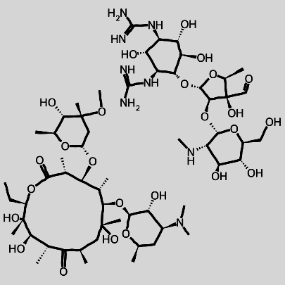 CC[C@H]1OC(=O)[C@H](C)[C@@H](O[C@H]2C[C@@](C)(OC)[C@@H](O)[C@H](C)O2)[C@H](C)[C@@H](O[C@@H]2O[C@H](C)C[C@H](N(C)C)[C@H]2O)[C@](C)(O)C[C@@H](C)C(=O)[C@H](C)[C@@H](O)[C@]1(C)O.CN[C@@H]1[C@H](O[C@H]2[C@H](O[C@H]3[C@H](O)[C@@H](O)[C@H](NC(=N)N)[C@@H](O)[C@@H]3NC(=N)N)O[C@@H](C)[C@]2(O)C=O)O[C@@H](CO)[C@H](O)[C@H]1O